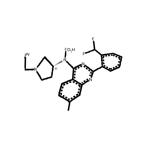 Cc1ccc2c(N(C(=O)O)[C@@H]3CCN(CC(C)C)C3)nc(-c3ccccc3C(F)F)nc2c1